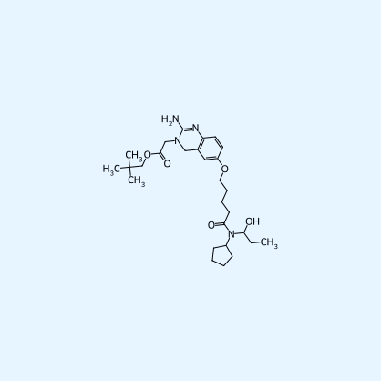 CCC(O)N(C(=O)CCCCOc1ccc2c(c1)CN(CC(=O)OCC(C)(C)C)C(N)=N2)C1CCCC1